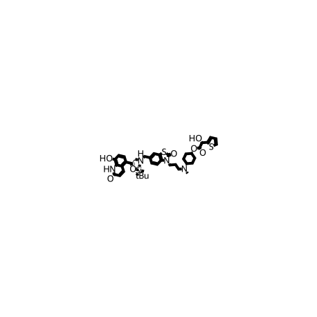 CN(CCCn1c(=O)sc2cc(CNC[C@H](O[Si](C)(C)C(C)(C)C)c3ccc(O)c4[nH]c(=O)ccc34)ccc21)[C@H]1CC[C@H](OC(=O)C(O)c2cccs2)CC1